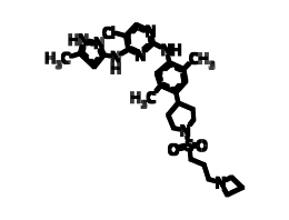 Cc1cc(Nc2nc(Nc3cc(C)c(C4CCN(S(=O)(=O)CCCN5CCC5)CC4)cc3C)ncc2Cl)n[nH]1